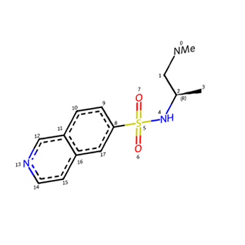 CNC[C@@H](C)NS(=O)(=O)c1ccc2cnccc2c1